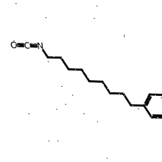 O=C=NCCCCCCCCCc1ccccc1